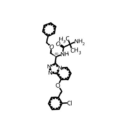 CC(C)(N)C(=O)N[C@H](COCc1ccccc1)c1nnc2c(OCc3ccccc3Cl)cccn12